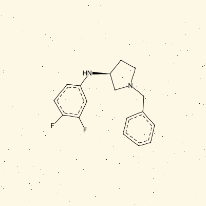 Fc1ccc(N[C@H]2CCN(Cc3ccccc3)C2)cc1F